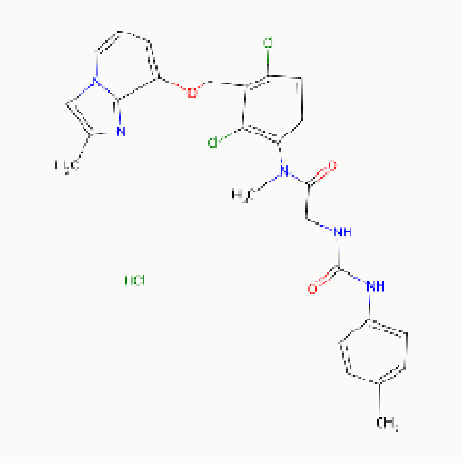 Cc1ccc(NC(=O)NCC(=O)N(C)c2ccc(Cl)c(COc3cccn4cc(C)nc34)c2Cl)cc1.Cl